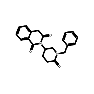 O=C1CCC(N2C(=O)Cc3ccccc3C2=O)CN1Cc1ccccc1